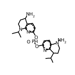 CC(C)C1CCN(N)c2ccc(O[PH](=O)Oc3ccc4c(n3)N(C(C)C)CCC4N)nc21